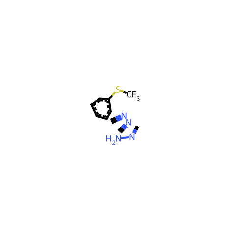 C#N.C#N.C=NN.FC(F)(F)Sc1ccccc1